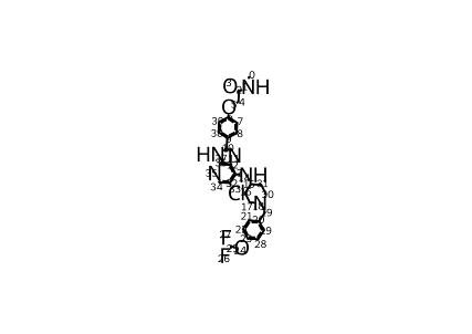 CNC(=O)COc1ccc(-c2nc3c(NC4CCN(Cc5ccc(OC(F)F)cc5)CC4)c(Cl)cnc3[nH]2)cc1